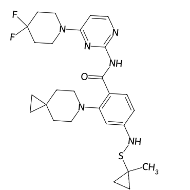 CC1(SNc2ccc(C(=O)Nc3nccc(N4CCC(F)(F)CC4)n3)c(N3CCC4(CC3)CC4)c2)CC1